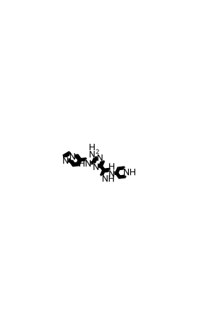 N=C/C(=C\NC1CCNCC1)c1cnc(N)c(NCc2ccc3nccn3c2)n1